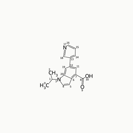 CC(C)n1ccc2c(C(=O)O)cc(-c3cccnc3)cc21